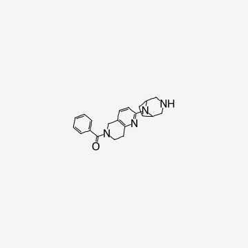 O=C(c1ccccc1)N1CCc2nc(N3C4CCC3CNC4)ccc2C1